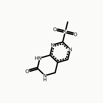 CS(=O)(=O)c1ncc2c(n1)NC(=O)NC2